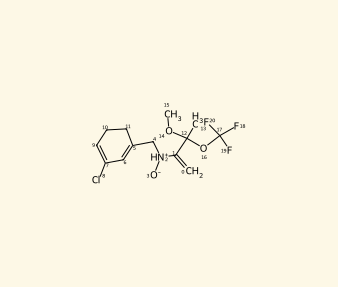 C=C([NH+]([O-])CC1=CC(Cl)=CCC1)C(C)(OC)OC(F)(F)F